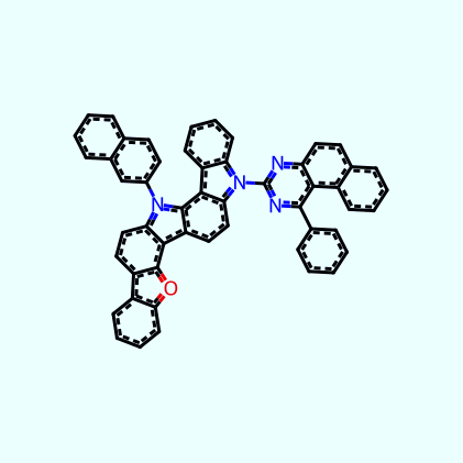 c1ccc(-c2nc(-n3c4ccccc4c4c3ccc3c5c6oc7ccccc7c6ccc5n(-c5ccc6ccccc6c5)c34)nc3ccc4ccccc4c23)cc1